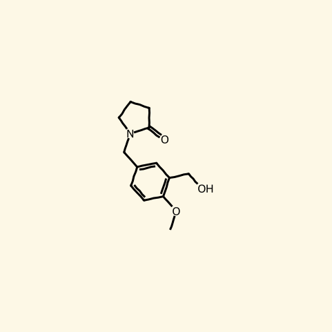 COc1ccc(CN2CCCC2=O)cc1CO